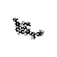 Cc1cc([C@H](C(=O)N2C[C@H](O)C[C@H]2C(=O)NCc2ccc(-c3scnc3C)cc2OC2CCN(C(=O)C3CCN(c4nccc(Sc5cnc(N6CCC7(CC6)CO[C@@H](C)[C@H]7N)c(CO)n5)c4Cl)CC3)CC2)C(C)C)on1